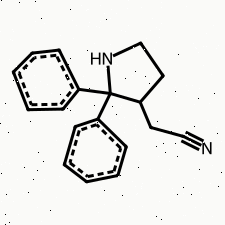 N#CCC1CCNC1(c1ccccc1)c1ccccc1